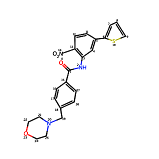 O=C(Nc1cc(-c2cccs2)ccc1[N+](=O)[O-])c1ccc(CN2CCOCC2)cc1